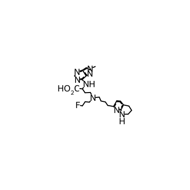 Cn1cc2ncnc(NC(CCN(CCCF)CCCCc3ccc4c(n3)NCCC4)C(=O)O)c2n1